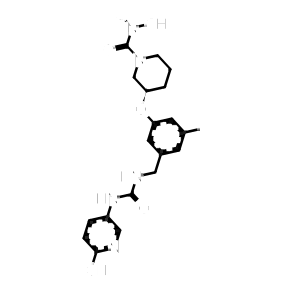 Cc1ccc(NC(=O)NCc2cc(F)cc(O[C@@H]3CCCN(C(=O)N(C)C)C3)c2)cn1